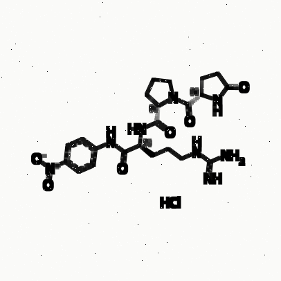 Cl.N=C(N)NCCC[C@H](NC(=O)[C@@H]1CCCN1C(=O)[C@@H]1CCC(=O)N1)C(=O)Nc1ccc([N+](=O)[O-])cc1